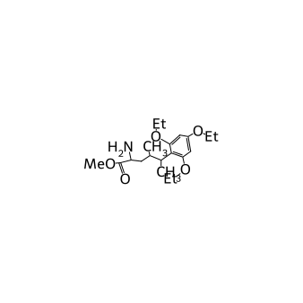 CCOc1cc(OCC)c(C(C)C(C)CC(N)C(=O)OC)c(OCC)c1